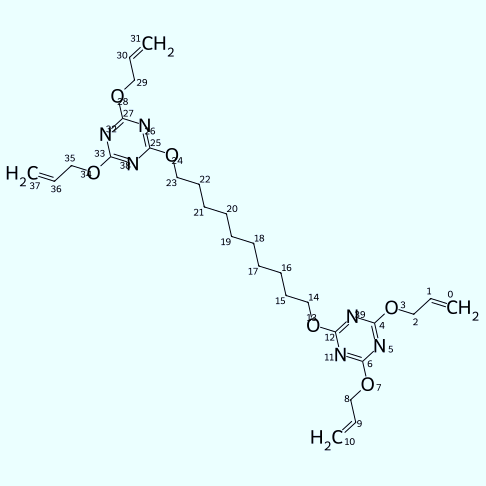 C=CCOc1nc(OCC=C)nc(OCCCCCCCCCCOc2nc(OCC=C)nc(OCC=C)n2)n1